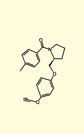 Cc1ccc(C(=O)N2CCC[C@H]2COc2ccc(OC(C)(C)C)cc2)cc1